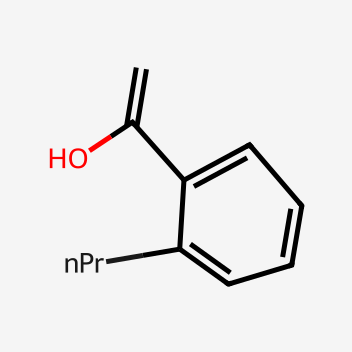 C=C(O)c1ccccc1CCC